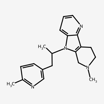 Cc1ccc(CC(C)n2c3c(c4ncccc42)CCN(C)C3)cn1